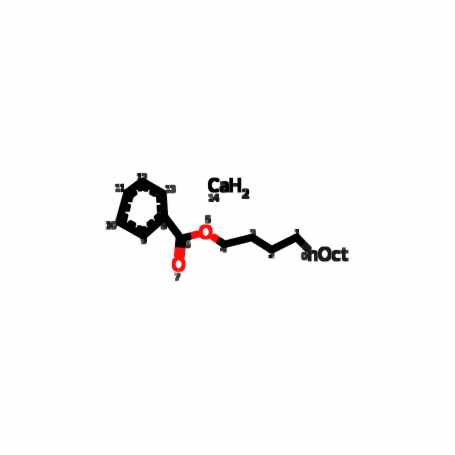 CCCCCCCCCCCCOC(=O)c1ccccc1.[CaH2]